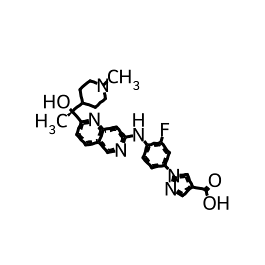 CN1CCC([C@@](C)(O)c2ccc3cnc(Nc4ccc(-n5cc(C(=O)O)cn5)cc4F)cc3n2)CC1